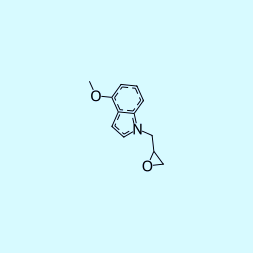 COc1cccc2c1ccn2CC1CO1